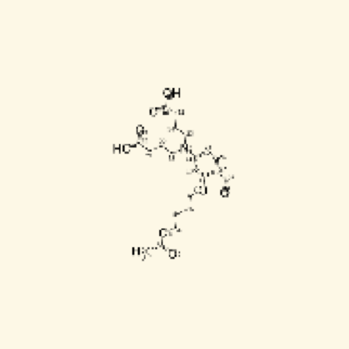 CC(=O)OCCCCOc1cc(N(CCCC(=O)O)CCCC(=O)O)ccc1C=O